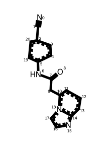 N#Cc1ccc(NC(=O)Cc2cccc3nccn23)cc1